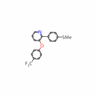 CSc1ccc(-c2ncccc2Oc2ccc(C(F)(F)F)cc2)cc1